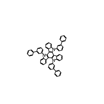 c1ccc(-c2cccc(-n3c4ccccc4c4c3c3c5ccccc5n(-c5cccc(-c6ccccc6)c5)c3c3c5ccccc5n(-c5cccc(-c6ccccc6)c5)c43)c2)cc1